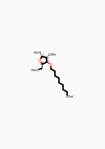 CCCCCCCCCCCCCCCCCCO[C@@H]1[C@@H](OC)[C@@H](OC)O[C@@H]1COC